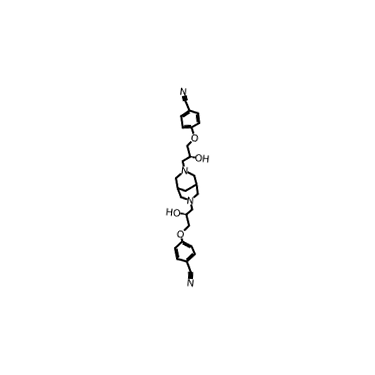 N#Cc1ccc(OC[C@@H](O)CN2CC3CC(C2)CN(C[C@H](O)COc2ccc(C#N)cc2)C3)cc1